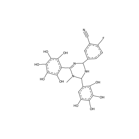 CN1C(c2c(O)c(O)c(O)c(O)c2O)=NC(c2ccc(F)c(C#N)c2)NC1c1cc(O)c(O)c(O)c1O